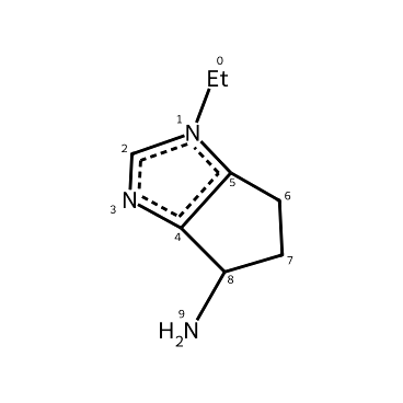 CCn1cnc2c1CCC2N